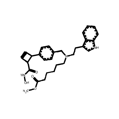 COC(=O)CCCCCN(CCc1c[nH]c2ccccc12)Cc1ccc(C2C#CC2C(=O)NO)cc1